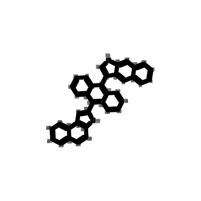 c1ccc2cc3c(-c4c5ccccc5c(-c5cc6c(ccc7ccccc76)o5)c5ccccc45)coc3cc2c1